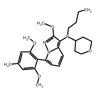 CCCCN(c1c(OC)nn2c(-c3c(OC)cc(C)cc3OC)cccc12)C1CCOCC1